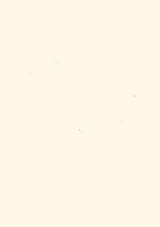 Nc1ncc(F)c(-c2cn(CC3CCCO3)c3cnc(Br)cc23)n1